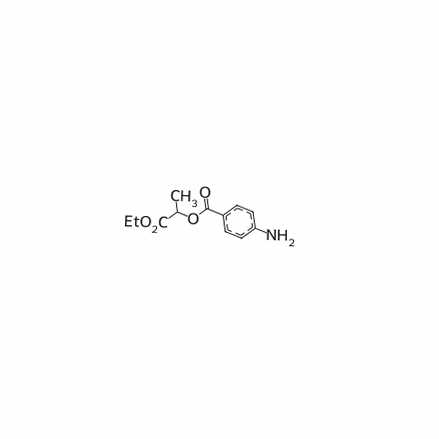 CCOC(=O)C(C)OC(=O)c1ccc(N)cc1